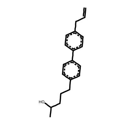 C=CCc1ccc(-c2ccc(CCCC(C)O)cc2)cc1